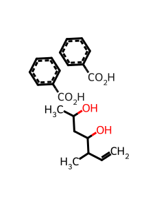 C=CC(C)C(O)CC(C)O.O=C(O)c1ccccc1.O=C(O)c1ccccc1